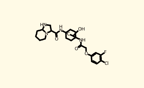 O=C(COc1ccc(Cl)c(F)c1)NC12CCC(NC(=O)C3CNC4CCCCN43)(CC1)CC2O